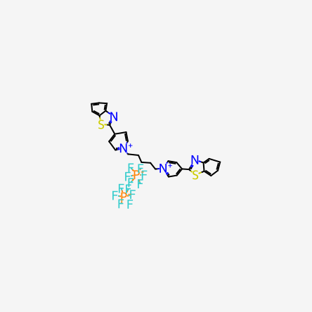 F[P-](F)(F)(F)(F)F.F[P-](F)(F)(F)(F)F.c1ccc2sc(-c3cc[n+](CCCCC[n+]4ccc(-c5nc6ccccc6s5)cc4)cc3)nc2c1